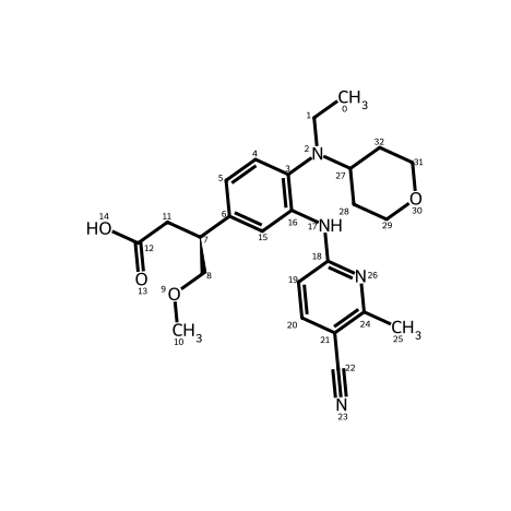 CCN(c1ccc([C@@H](COC)CC(=O)O)cc1Nc1ccc(C#N)c(C)n1)C1CCOCC1